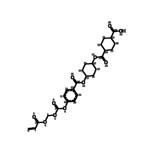 C=CC(=O)OCOC(=O)Oc1ccc(C(=O)OC2CCC(OC(=O)C3CCC(C(=O)O)CC3)CC2)cc1